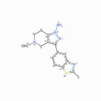 Cc1nc2cc(-c3nn(N)c4c3CN(C=O)CC4)ccc2s1